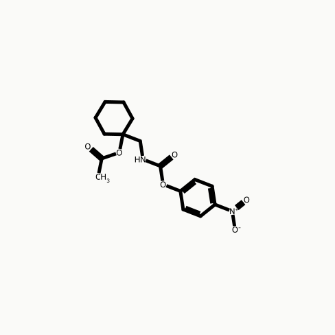 CC(=O)OC1(CNC(=O)Oc2ccc([N+](=O)[O-])cc2)CCCCC1